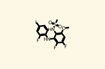 COc1cc(F)c(F)c(Nc2ccc(I)cc2F)c1NS(C)(=O)=O